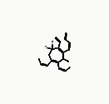 C=C/C=C\C1=C(C=C)C(F)(F)CC(/C=C\C)=C(/C=C\C)C1C